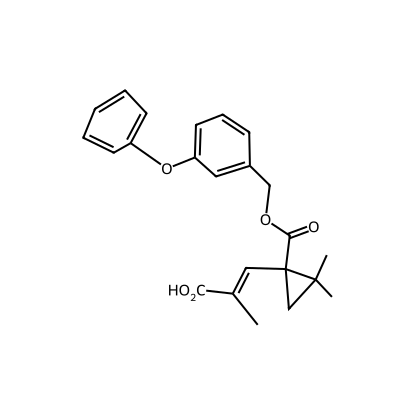 CC(=CC1(C(=O)OCc2cccc(Oc3ccccc3)c2)CC1(C)C)C(=O)O